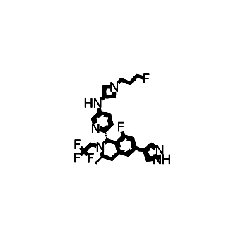 C[C@@H]1Cc2cc(-c3cn[nH]c3)cc(F)c2[C@@H](c2ccc(NC3CN(CCCF)C3)cn2)N1CC(F)(F)F